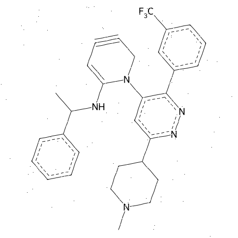 CC(NC1=CC#CCN1c1cc(C2CCN(C)CC2)nnc1-c1cccc(C(F)(F)F)c1)c1ccccc1